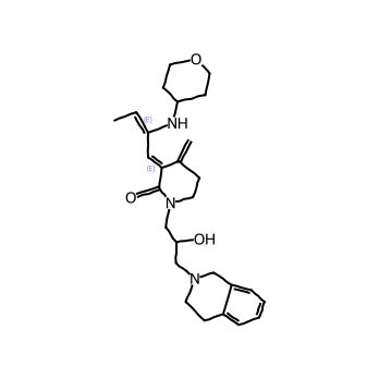 C=C1CCN(CC(O)CN2CCc3ccccc3C2)C(=O)/C1=C/C(=C\C)NC1CCOCC1